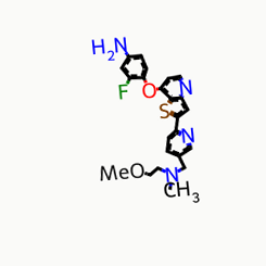 COCCN(C)Cc1ccc(-c2cc3nccc(Oc4ccc(N)cc4F)c3s2)nc1